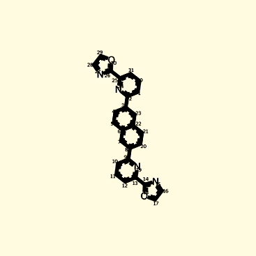 c1cc(-c2ccc3cc(-c4cccc(-c5ncco5)n4)ccc3c2)nc(-c2ncco2)c1